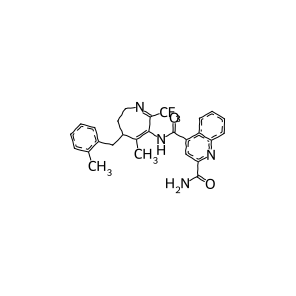 CC1=C(NC(=O)c2cc(C(N)=O)nc3ccccc23)C(C(F)(F)F)=NCCC1Cc1ccccc1C